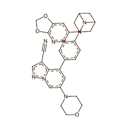 N#Cc1cnn2cc(N3CCOCC3)cc(-c3ccc(N4CC5CC(C4)N5Cc4cnc5c(c4)OCO5)nc3)c12